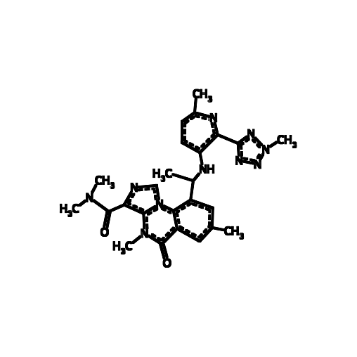 Cc1cc(C(C)Nc2ccc(C)nc2-c2nnn(C)n2)c2c(c1)c(=O)n(C)c1c(C(=O)N(C)C)ncn21